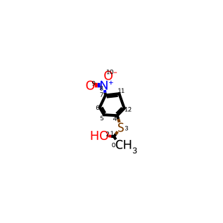 CC(O)Sc1ccc([N+](=O)[O-])cc1